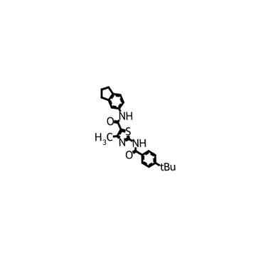 Cc1nc(NC(=O)c2ccc(C(C)(C)C)cc2)sc1C(=O)Nc1ccc2c(c1)CCC2